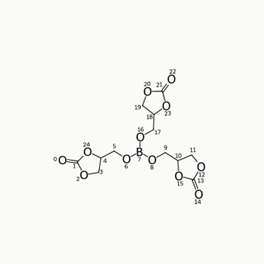 O=C1OCC(COB(OCC2COC(=O)O2)OCC2COC(=O)O2)O1